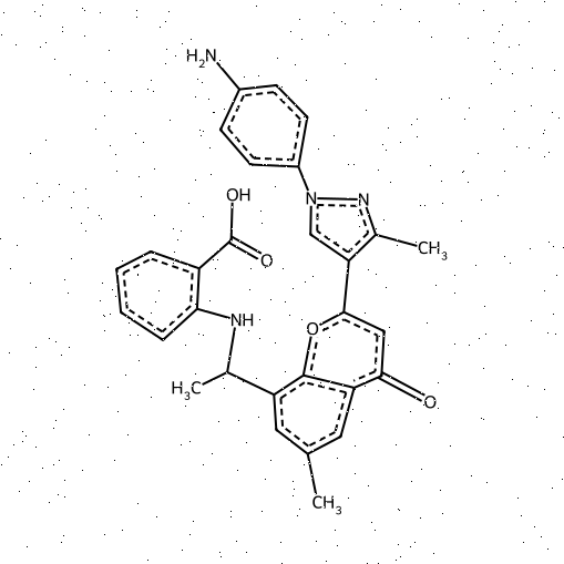 Cc1cc(C(C)Nc2ccccc2C(=O)O)c2oc(-c3cn(-c4ccc(N)cc4)nc3C)cc(=O)c2c1